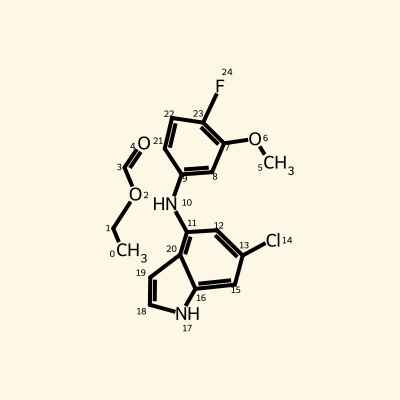 CCOC=O.COc1cc(Nc2cc(Cl)cc3[nH]ccc23)ccc1F